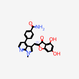 Cn1cc(/C=C2\Oc3cc(O)cc(O)c3C2=O)c2c(-c3ccc(C(N)=O)cc3)ccnc21